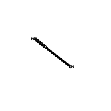 OCCCCCCCCCCCCCCCCCCCCCCCCOOOOOOOOOOOO